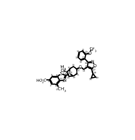 Cc1cc(C(=O)O)cc2sc(N3C4CC(OCc5c(-c6ccccc6OC(F)(F)F)noc5C5CC5)CC3[C@H](C)C4)nc12